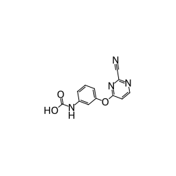 N#Cc1nccc(Oc2cccc(NC(=O)O)c2)n1